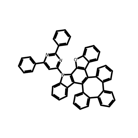 c1ccc(-c2cc(-n3c4ccccc4c4c5c(c6c7ccccc7oc6c43)-c3ccccc3-c3ccccc3-c3ccccc3-5)nc(-c3ccccc3)n2)cc1